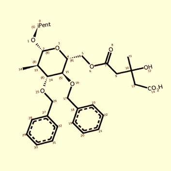 CCC[C@H](C)O[C@@H]1O[C@H](COC(=O)CC(C)(O)CC(=O)O)[C@@H](OCc2ccccc2)[C@H](OCc2ccccc2)[C@H]1C